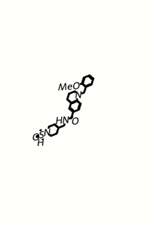 COc1ccccc1CN1CCCc2cc(C(=O)NCC3CCN([SH](C)(C)=O)CC3)ccc21